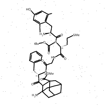 COC(=O)C12CC3CC(CC(N)(C3)C1C(=O)[C@H](Cc1ccccc1)NC(=O)CNC(=O)[C@@H](CCSC)N(C(=O)OC(C)(C)C)C(=O)[C@@H](N)Cc1c(C)cc(O)cc1C)C2